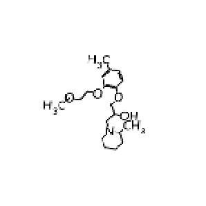 COCCOc1cc(C)ccc1OCC(O)CN1CCCCC1C